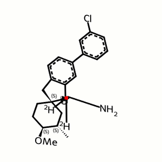 [2H]C1([2H])OC(N)=N[C@]12c1cc(-c3cccc(Cl)c3)ccc1C[C@@]21CC[C@H](OC)[C@@H](C)C1